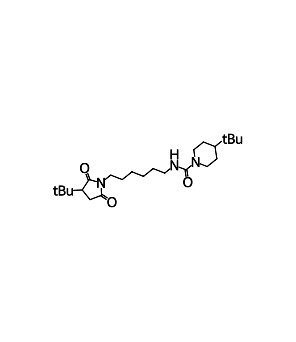 CC(C)(C)C1CCN(C(=O)NCCCCCCN2C(=O)CC(C(C)(C)C)C2=O)CC1